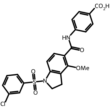 COc1c(C(=O)Nc2ccc(C(=O)O)cc2)ccc2c1CCN2S(=O)(=O)c1cccc(Cl)c1